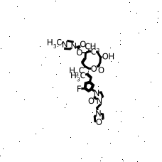 C/C(=C\c1cc(F)cc(N2CCN(CCN3CCOCC3)C2=O)c1)[C@H]1OC(=O)C[C@H](O)CC[C@H](C)[C@H](OC(=O)N2CCN(C)CC2)/C=C/[C@@H]1C